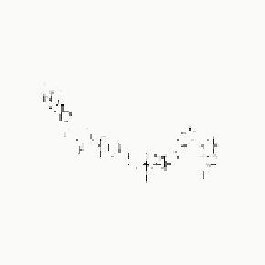 C[C@H](NC(=O)c1cn(C)c2ccc(-c3ccn4nc(NC(=O)C5CC5COc5ccc([C@H](C)NC(=O)c6cn(C)c7ccc(-c8ccn9nc(NC(=O)C%10CC%10)nc9c8)cc67)cc5F)nc4c3)cc12)c1ccc(F)c(F)c1